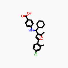 Cc1cc(Cl)ccc1-c1cc(C(Nc2ccc(C(=O)O)cc2)C2CCCCC2)c(C)o1